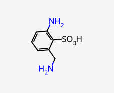 NCc1cccc(N)c1S(=O)(=O)O